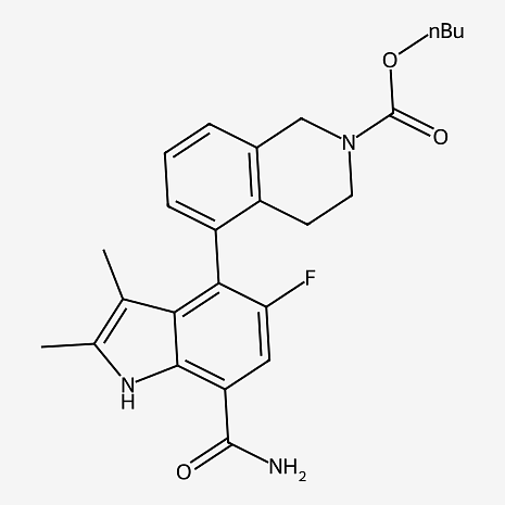 CCCCOC(=O)N1CCc2c(cccc2-c2c(F)cc(C(N)=O)c3[nH]c(C)c(C)c23)C1